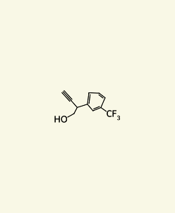 C#CC(CO)c1cccc(C(F)(F)F)c1